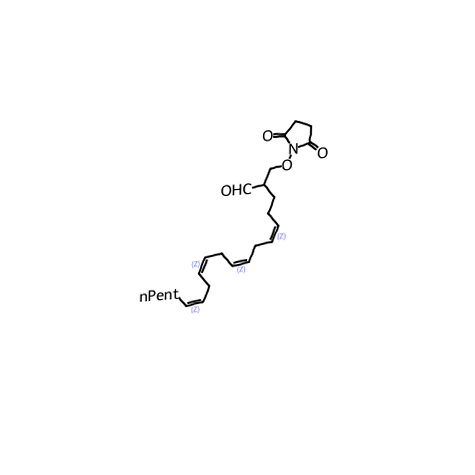 CCCCC/C=C\C/C=C\C/C=C\C/C=C\CCC(C=O)CON1C(=O)CCC1=O